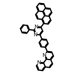 c1ccc(-c2nc(-c3ccc(-c4ccc5ccc6cccnc6c5n4)cc3)cc(-c3ccc4ccc5cccc6ccc3c4c56)n2)cc1